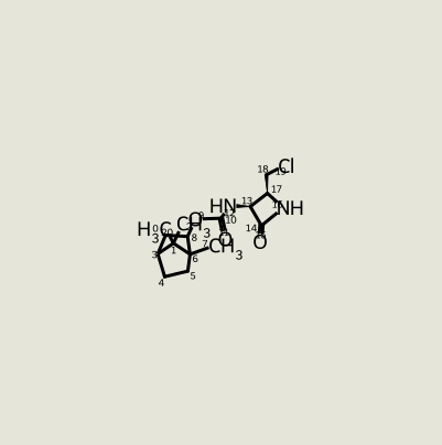 CC1(C)C2CCC1(C)C(OC(=O)N[C@@H]1C(=O)N[C@@H]1CCl)C2